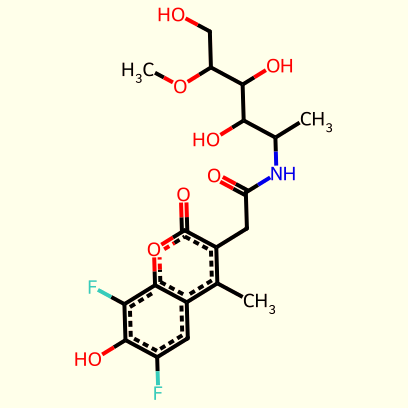 COC(CO)C(O)C(O)C(C)NC(=O)Cc1c(C)c2cc(F)c(O)c(F)c2oc1=O